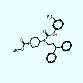 CC(C)(C)OC(=O)N1CCC(N(CCC(c2ccccc2)c2ccccc2)C(=O)Nc2cccc(C(F)(F)F)c2)CC1